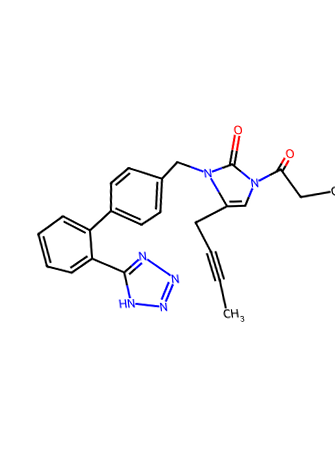 CC#CCc1cn(C(=O)CC)c(=O)n1Cc1ccc(-c2ccccc2-c2nnn[nH]2)cc1